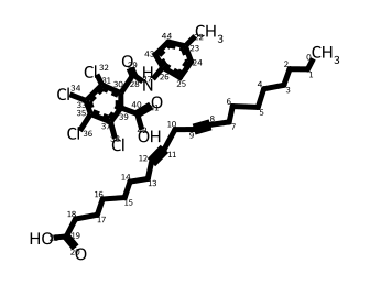 CCCCCCCCC#CCC#CCCCCCCC(=O)O.Cc1ccc(NC(=O)c2c(Cl)c(Cl)c(Cl)c(Cl)c2C(=O)O)cc1